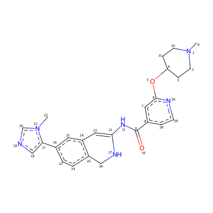 CN1CCC(Oc2cc(C(=O)NC3=Cc4cc(-c5cncn5C)ccc4CN3)ccn2)CC1